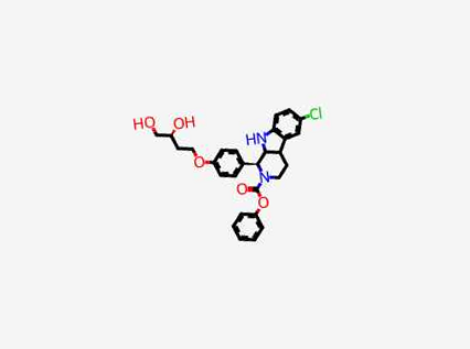 O=C(Oc1ccccc1)N1CCC2c3cc(Cl)ccc3NC2[C@@H]1c1ccc(OCC[C@H](O)CO)cc1